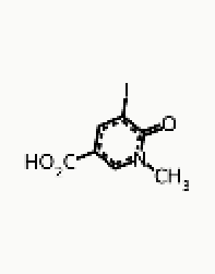 Cn1cc(C(=O)O)cc(I)c1=O